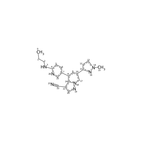 CCCNc1ccc(-c2cc(-c3ccn(C)n3)cn3ncc(C#N)c23)cn1